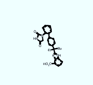 CCC(C)C(CC)(c1ccc(-c2ccccc2N2CC(=O)NC2=O)cc1)c1nc2c(C(=O)O)cccc2[nH]1